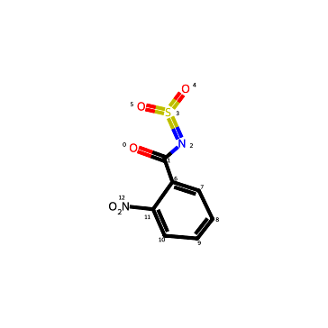 O=C(N=S(=O)=O)c1ccccc1[N+](=O)[O-]